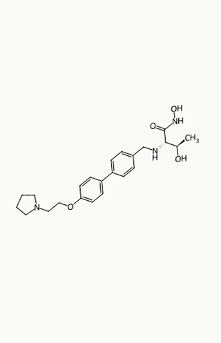 C[C@@H](O)[C@H](NCc1ccc(-c2ccc(OCCN3CCCC3)cc2)cc1)C(=O)NO